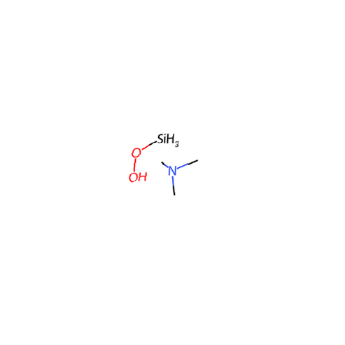 CN(C)C.OO[SiH3]